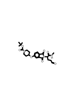 CNC(=O)C(CCC=O)N1C(=O)c2ccc(OC3CCN(C(=O)OC(C)(C)C)CC3)cc2C1=O